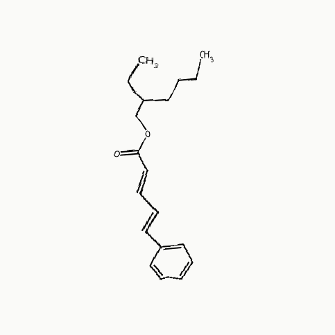 CCCCC(CC)COC(=O)C=CC=Cc1ccccc1